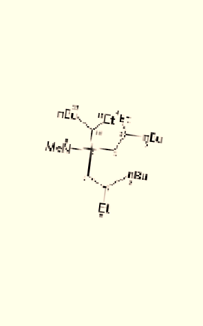 [CH2]NC(CC(CC)CCCC)(CC(CC)CCCC)C(CC)CCCC